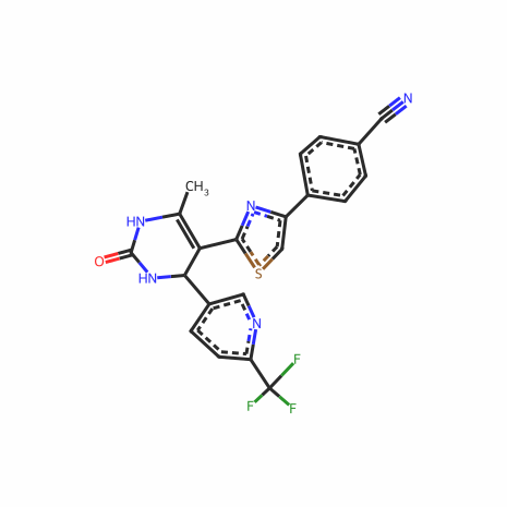 CC1=C(c2nc(-c3ccc(C#N)cc3)cs2)C(c2ccc(C(F)(F)F)nc2)NC(=O)N1